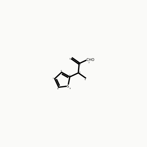 C=C(C=O)C(C)c1cccs1